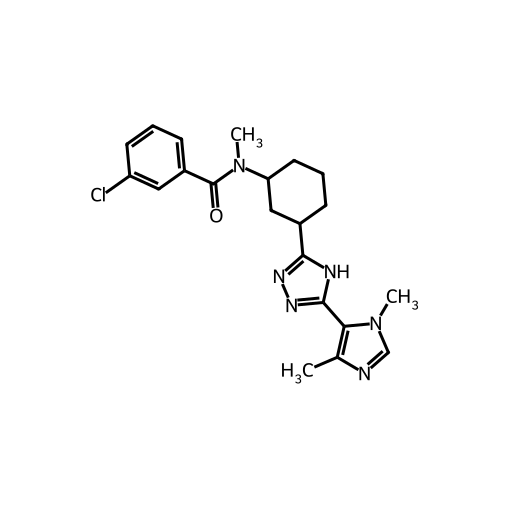 Cc1ncn(C)c1-c1nnc(C2CCCC(N(C)C(=O)c3cccc(Cl)c3)C2)[nH]1